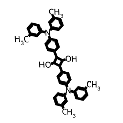 Cc1cccc(N(c2ccc(C3C(O)C(c4ccc(N(c5cccc(C)c5)c5cccc(C)c5)cc4)C3O)cc2)c2cccc(C)c2)c1